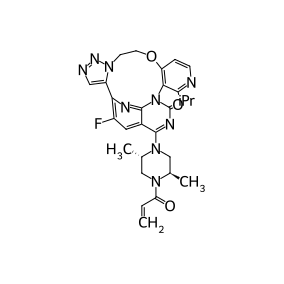 C=CC(=O)N1C[C@H](C)N(c2nc(=O)n3c4nc(c(F)cc24)-c2cnnn2CCOc2ccnc(C(C)C)c2-3)C[C@H]1C